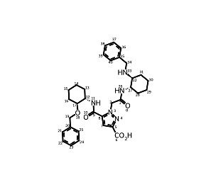 O=C(Cn1nc(C(=O)O)cc1C(=O)N[C@H]1CCCC[C@@H]1OCc1ccccc1)N[C@H]1CCCC[C@@H]1NCc1ccccc1